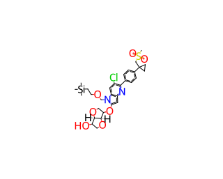 C[Si](C)(C)CCOCn1c(O[C@@H]2CO[C@H]3[C@@H]2OC[C@H]3O)cc2nc(-c3ccc(C4(CS(C)(=O)=O)CC4)cc3)c(Cl)cc21